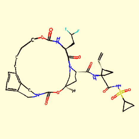 C=C[C@@H]1C[C@]1(NC(=O)[C@@H]1C[C@@H]2CN1C(=O)[C@H](CC(F)F)NC(=O)OCCCCc1cccc3c1CN(C3)C(=O)O2)C(=O)NS(=O)(=O)C1CC1